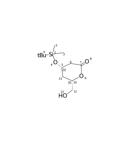 CC(C)(C)[Si](C)(C)O[C@@H]1CC(=O)O[C@H](CO)C1